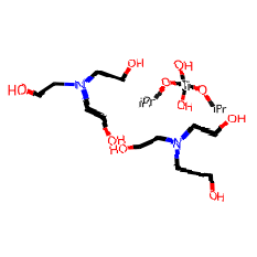 CC(C)[O][Ti]([OH])([OH])[O]C(C)C.OCCN(CCO)CCO.OCCN(CCO)CCO